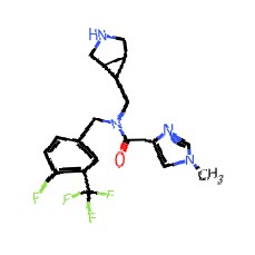 Cn1cnc(C(=O)N(Cc2ccc(F)c(C(F)(F)F)c2)CC2C3CNCC32)c1